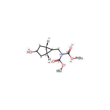 CC(C)(C)OC(=O)N(CC1[C@H]2CC(O)C[C@@H]12)C(=O)OC(C)(C)C